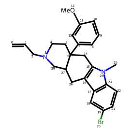 C=CCN1CCC2(c3cccc(OC)c3)Cc3c(c4cc(Br)ccc4n3C)CC2C1